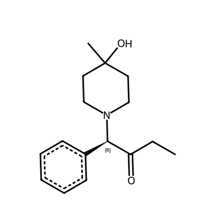 CCC(=O)[C@@H](c1ccccc1)N1CCC(C)(O)CC1